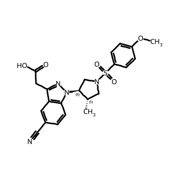 COc1ccc(S(=O)(=O)N2C[C@H](C)[C@@H](n3nc(CC(=O)O)c4cc(C#N)ccc43)C2)cc1